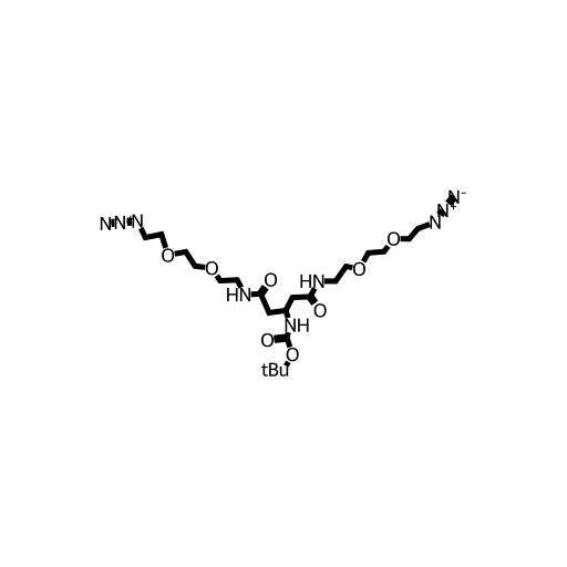 CC(C)(C)OC(=O)NC(CC(=O)NCCOCCOCCN=[N+]=[N-])CC(=O)NCCOCCOCCN=[N+]=[N-]